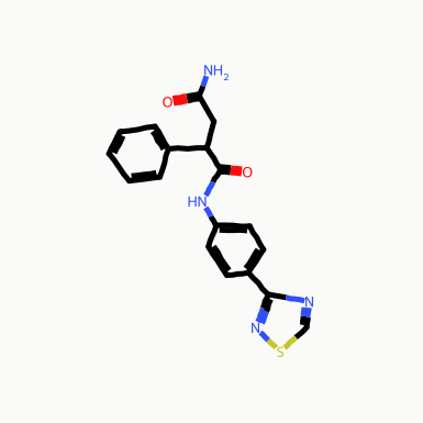 NC(=O)CC(C(=O)Nc1ccc(-c2ncsn2)cc1)c1ccccc1